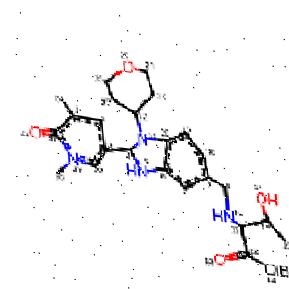 Cc1cc(C2Nc3cc(CNC(C(=O)OCC(C)C)C(C)O)ccc3N2C2CCOCC2)cn(C)c1=O